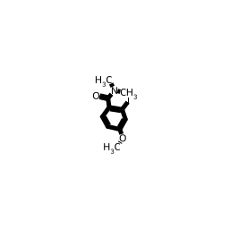 COc1ccc(C(=O)N(C)C)c(I)c1